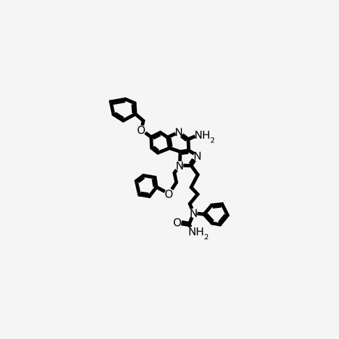 NC(=O)N(CCCCc1nc2c(N)nc3cc(OCc4ccccc4)ccc3c2n1CCOc1ccccc1)c1ccccc1